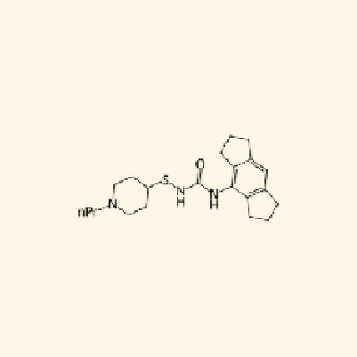 CCCN1CCC(SNC(=O)Nc2c3c(cc4c2CCC4)CCC3)CC1